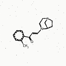 Cc1ccccc1C(=O)/C=C/N1CCN2CCC1C2